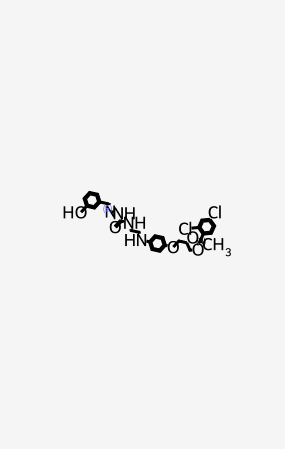 C[C@@]1(c2ccc(Cl)cc2Cl)OCC(COc2ccc(NCCNC(=O)N/N=C/c3cccc(O)c3)cc2)O1